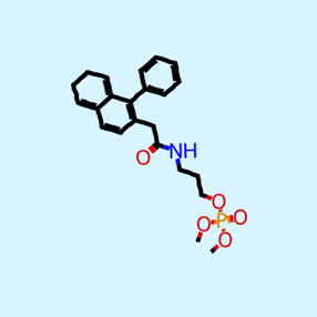 COP(=O)(OC)OCCCNC(=O)Cc1ccc2c(c1-c1ccccc1)=CCCC=2